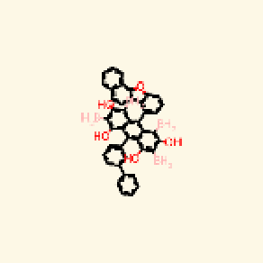 Bc1c(O)c(B)c2c(-c3cccc4oc5c6ccccc6ccc5c34)c3c(B)c(O)c(B)c(O)c3c(-c3cccc(-c4ccccc4)c3)c2c1O